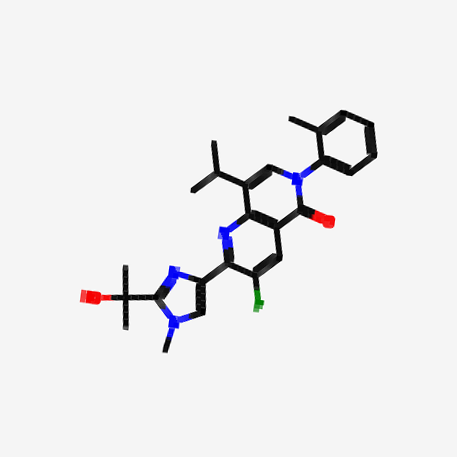 Cc1ccccc1-n1cc(C(C)C)c2nc(-c3cn(C)c(C(C)(C)O)n3)c(F)cc2c1=O